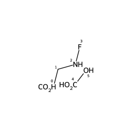 O=C(O)CNF.O=C(O)O